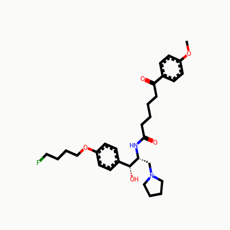 COc1ccc(C(=O)CCCCC(=O)N[C@H](CN2CCCC2)[C@H](O)c2ccc(OCCCCF)cc2)cc1